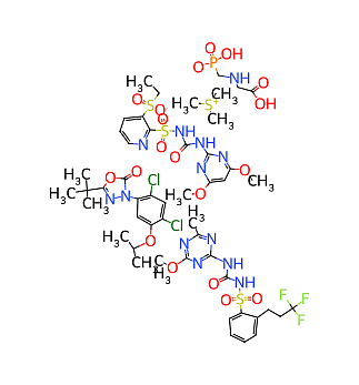 CC(C)Oc1cc(-n2nc(C(C)(C)C)oc2=O)c(Cl)cc1Cl.CCS(=O)(=O)c1cccnc1S(=O)(=O)NC(=O)Nc1nc(OC)cc(OC)n1.COc1nc(C)nc(NC(=O)NS(=O)(=O)c2ccccc2CCC(F)(F)F)n1.C[S+](C)C.O=C(O)CNCP(=O)([O-])O